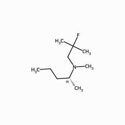 CCC[C@@H](C)N(C)CC(C)(C)F